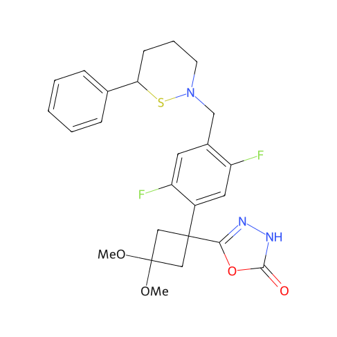 COC1(OC)CC(c2n[nH]c(=O)o2)(c2cc(F)c(CN3CCCC(c4ccccc4)S3)cc2F)C1